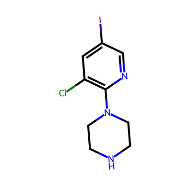 Clc1cc(I)cnc1N1CCNCC1